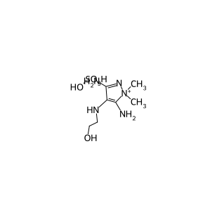 C[N+]1(C)N=C(N)C(NCCO)=C1N.O=S(=O)(O)O